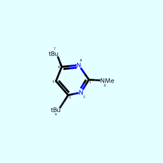 CNc1nc(C(C)(C)C)cc(C(C)(C)C)n1